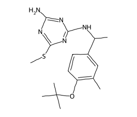 CSc1nc(N)nc(NC(C)c2ccc(OC(C)(C)C)c(C)c2)n1